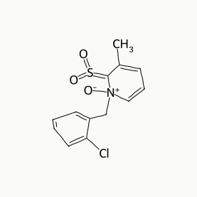 CC1=CC=C[N+]([O-])(Cc2ccccc2Cl)C1=S(=O)=O